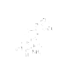 CCOC(C)Oc1ccc(C(CC(C)(C)C)C(C)(C)N)cc1